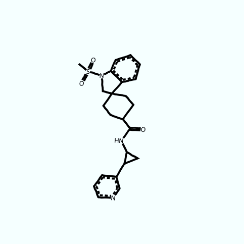 CS(=O)(=O)N1CC2(CCC(C(=O)NC3CC3c3cccnc3)CC2)c2ccccc21